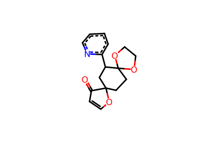 O=C1C=COC12CCC1(OCCO1)C(c1ccccn1)C2